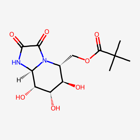 CC(C)(C)C(=O)OC[C@@H]1[C@@H](O)[C@H](O)[C@H](O)[C@H]2NC(=O)C(=O)N12